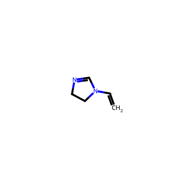 C=[C]N1C=NCC1